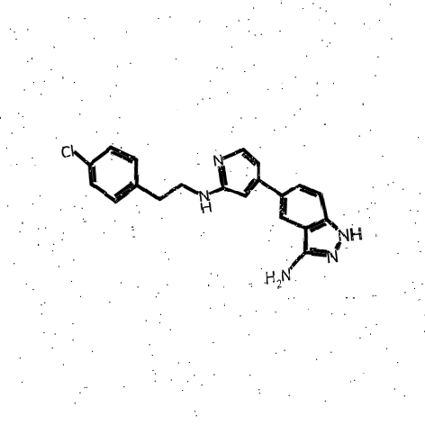 Nc1n[nH]c2ccc(-c3ccnc(NCCc4ccc(Cl)cc4)c3)cc12